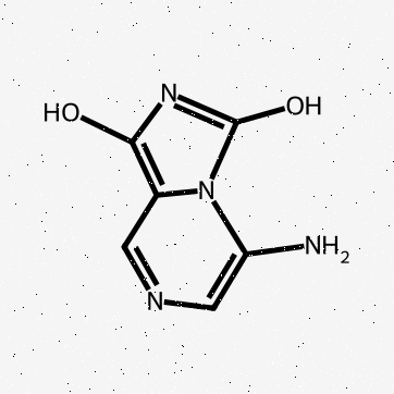 Nc1cncc2c(O)nc(O)n12